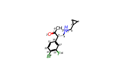 CC(=O)[C@H](CNCC1CC1)c1ccc(Br)c(F)c1